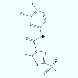 Cc1sc(S(C)(=O)=O)cc1C(=O)Nc1ccc(F)c(F)c1